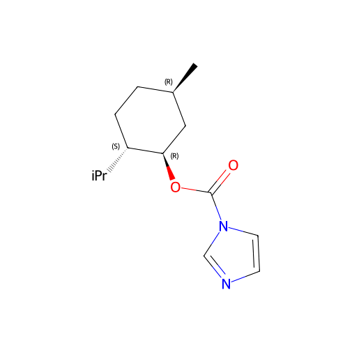 CC(C)[C@@H]1CC[C@@H](C)C[C@H]1OC(=O)n1ccnc1